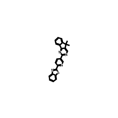 CC1(C)c2ccccc2-c2nc(-c3ccc(-c4nc5ccccc5s4)nc3)ncc21